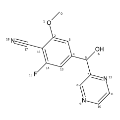 COc1cc(C(O)c2cnccn2)cc(F)c1C#N